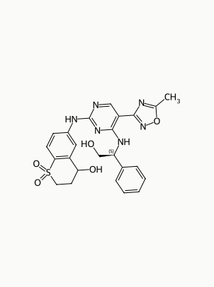 Cc1nc(-c2cnc(Nc3ccc4c(c3)C(O)CCS4(=O)=O)nc2N[C@H](CO)c2ccccc2)no1